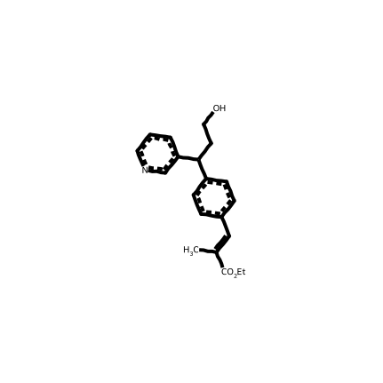 CCOC(=O)C(C)=Cc1ccc(C(CCO)c2cccnc2)cc1